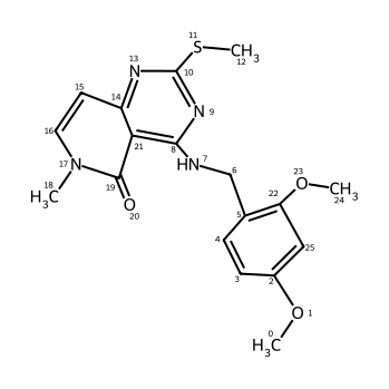 COc1ccc(CNc2nc(SC)nc3ccn(C)c(=O)c23)c(OC)c1